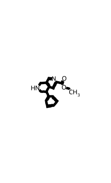 CCOC(=O)c1cc2c(cn1)CNCC2c1ccccc1